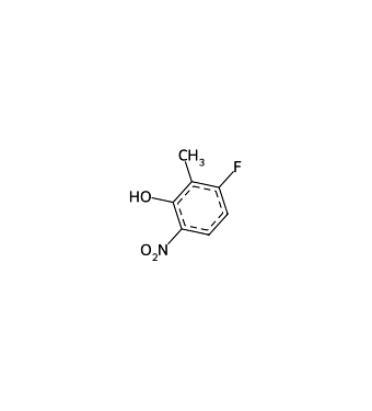 Cc1c(F)ccc([N+](=O)[O-])c1O